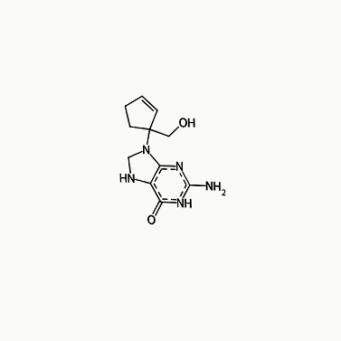 Nc1nc2c(c(=O)[nH]1)NCN2C1(CO)C=CCC1